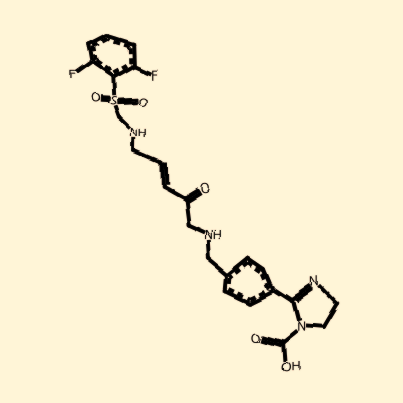 O=C(C=CCNCS(=O)(=O)c1c(F)cccc1F)CNCc1ccc(C2=NCCN2C(=O)O)cc1